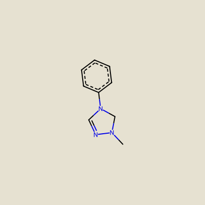 CN1CN(c2ccccc2)C=N1